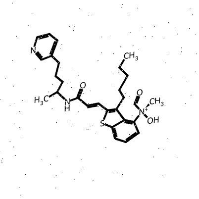 CCCCCc1c(/C=C/C(=O)NC(C)CCCc2cccnc2)sc2cccc([N@@+](C)(O)C=O)c12